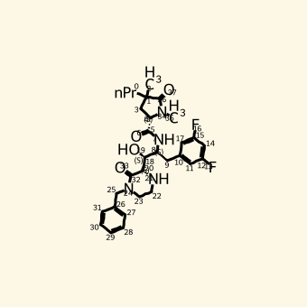 CCCC1(C)C[C@@H](C(=O)N[C@@H](Cc2cc(F)cc(F)c2)[C@H](O)[C@@H]2NCCN(Cc3ccccc3)C2=O)N(C)C1=O